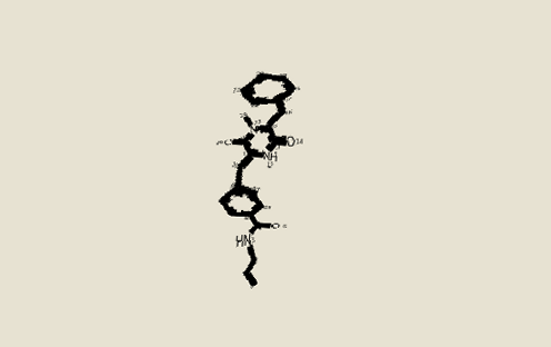 C=CCNC(=O)c1ccc(C=c2[nH]c(=O)c(=Cc3ccccc3)n(C)c2=O)cc1